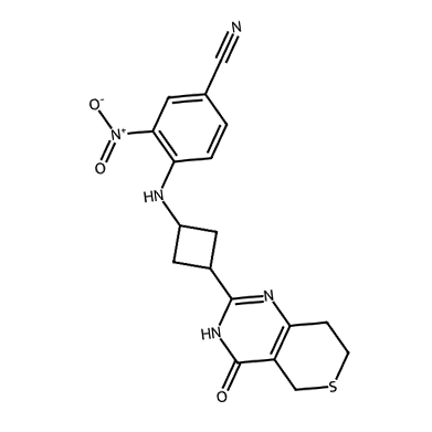 N#Cc1ccc(NC2CC(c3nc4c(c(=O)[nH]3)CSCC4)C2)c([N+](=O)[O-])c1